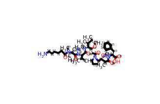 CC[C@H](C)[C@@H]([C@@H](CC(=O)N1CCC[C@H]1[C@H](OC)[C@@H](C)C(=O)N[C@@H](Cc1ccccc1)C(=O)O)OC)N(C)C(=O)[C@@H](NC(=O)C(C)(C)N(C)C(=O)CCCCCN)C(C)C